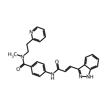 CN(CCc1ccccn1)C(=O)c1ccc(NC(=O)C=Cc2n[nH]c3ccccc23)cc1